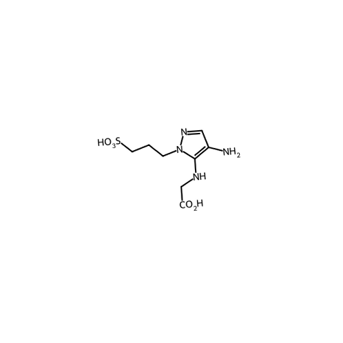 Nc1cnn(CCCS(=O)(=O)O)c1NCC(=O)O